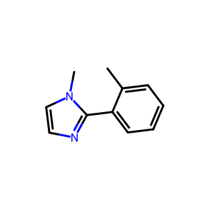 Cc1ccccc1-c1nccn1C